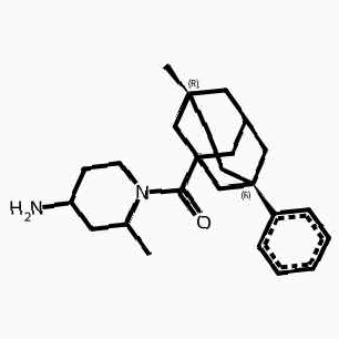 CC1CC(N)CCN1C(=O)C12CC3C[C@@](C)(C1)C[C@](c1ccccc1)(C3)C2